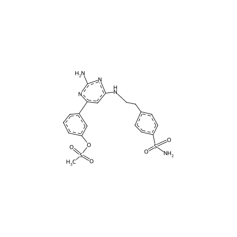 CS(=O)(=O)Oc1cccc(-c2cc(NCCc3ccc(S(N)(=O)=O)cc3)nc(N)n2)c1